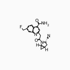 N#C[C@@H]1C[C@@H]2C[C@@H]2N1C(=O)Cc1cc(C(N)=O)c2ccc(CF)cc2n1